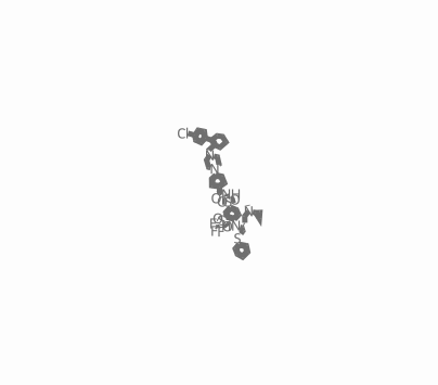 CN(CC[C@H](CSc1ccccc1)Nc1ccc(S(=O)(=O)NC(=O)c2ccc(N3CCN(CC4=C(c5ccc(Cl)cc5)CCCC4)CC3)cc2)cc1S(=O)(=O)C(F)(F)F)C1CC1